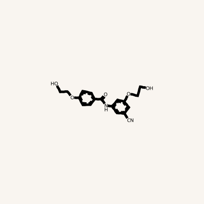 N#Cc1cc(NC(=O)c2ccc(OCCO)cc2)cc(OCCO)c1